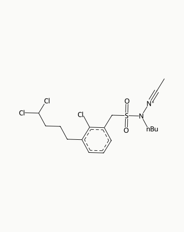 CC#[N+]N(CCCC)S(=O)(=O)Cc1cccc(CCCC(Cl)Cl)c1Cl